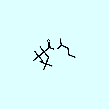 CCCC(C)OC(=O)C(C)(CC(C)(C)C)C(C)(C)C